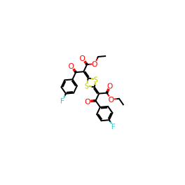 CCOC(=O)C(C(=O)c1ccc(F)cc1)=c1sc(=C(C(=O)OCC)C(=O)c2ccc(F)cc2)s1